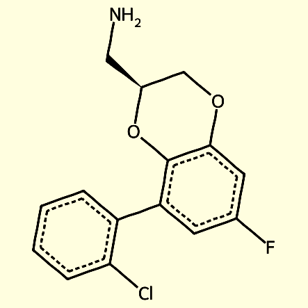 NC[C@H]1COc2cc(F)cc(-c3ccccc3Cl)c2O1